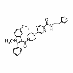 Cc1ccc2c(c1)c(C(=O)N1CCN(c3cnc(C(=O)NCCc4ccsc4)cn3)CC1)c(-c1ccccc1)n2C